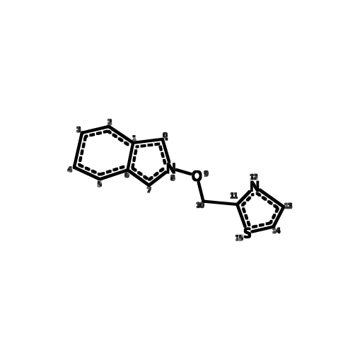 [c]1c2ccccc2cn1OCc1nccs1